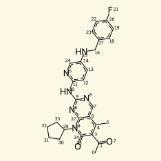 CC(=O)c1c(C)c2cnc(Nc3ccc(NCc4ccc(F)cc4)cn3)nc2n(C2CCCC2)c1=O